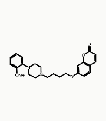 COc1ccccc1N1CCN(CCCCOc2ccc3ccc(=O)oc3c2)CC1